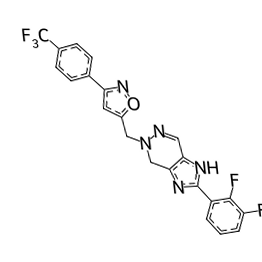 Fc1cccc(-c2nc3c([nH]2)C=NN(Cc2cc(-c4ccc(C(F)(F)F)cc4)no2)C3)c1F